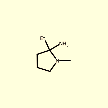 CCC1(N)CCCN1C